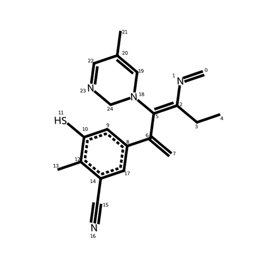 C=N/C(CC)=C(/C(=C)c1cc(S)c(C)c(C#N)c1)N1C=C(C)C=NC1